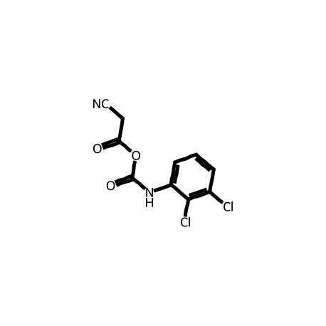 N#CCC(=O)OC(=O)Nc1cccc(Cl)c1Cl